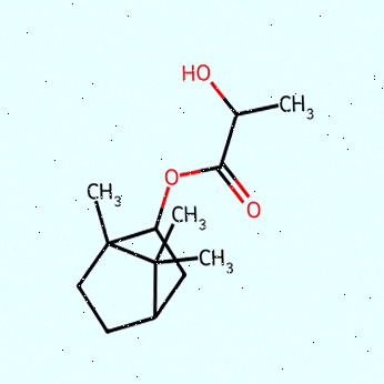 CC(O)C(=O)OC1CC2CCC1(C)C2(C)C